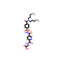 CCCCN(CCCC)C(=O)c1ccc(S(=O)(=O)NC(=O)c2ccc(C(=O)NCC(=O)O)nc2)cc1